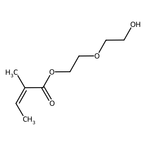 CC=C(C)C(=O)OCCOCCO